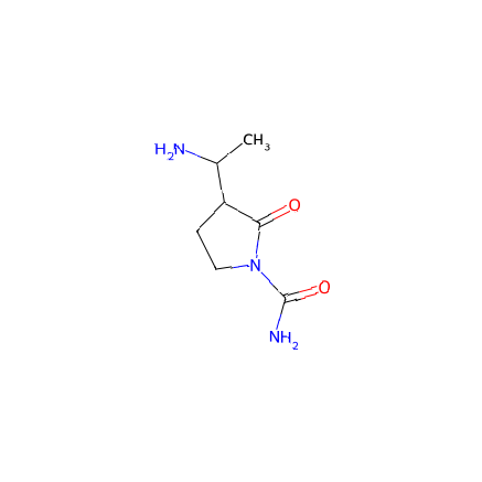 CC(N)C1CCN(C(N)=O)C1=O